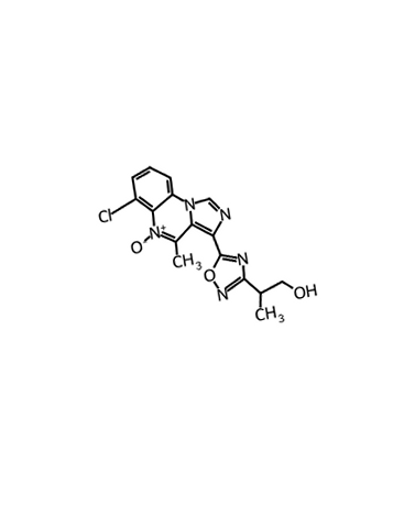 Cc1c2c(-c3nc(C(C)CO)no3)ncn2c2cccc(Cl)c2[n+]1[O-]